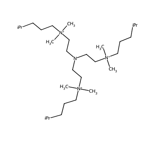 CC(C)CCC[N+](C)(C)CCN(CC[N+](C)(C)CCCC(C)C)CC[N+](C)(C)CCCC(C)C